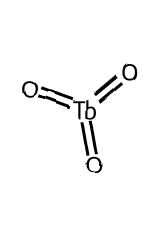 [O]=[Tb](=[O])=[O]